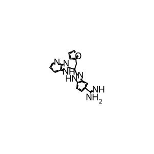 N=C(N)c1ccc2[nH]c(C(Cc3ccco3)c3nc4ncccc4[nH]3)nc2c1